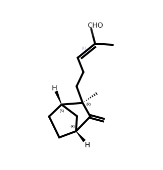 C=C1[C@@H]2CC[C@@H](C2)[C@@]1(C)CC/C=C(\C)C=O